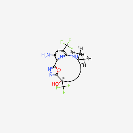 [2H]C([2H])([2H])C1(C([2H])([2H])[2H])CCCCC[C@](O)(C(F)(F)F)c2nnc(o2)-c2nc(c(C(F)(F)F)cc2N)N1